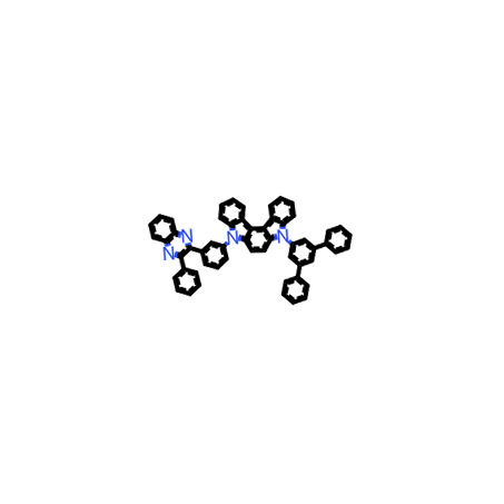 c1ccc(-c2cc(-c3ccccc3)cc(-n3c4ccccc4c4c5c6ccccc6n(-c6cccc(-c7nc8ccccc8nc7-c7ccccc7)c6)c5ccc43)c2)cc1